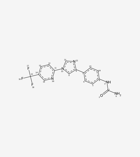 NC(=O)Nc1ccc(-c2cn(-c3ccc(C(F)(F)F)cn3)cn2)cc1